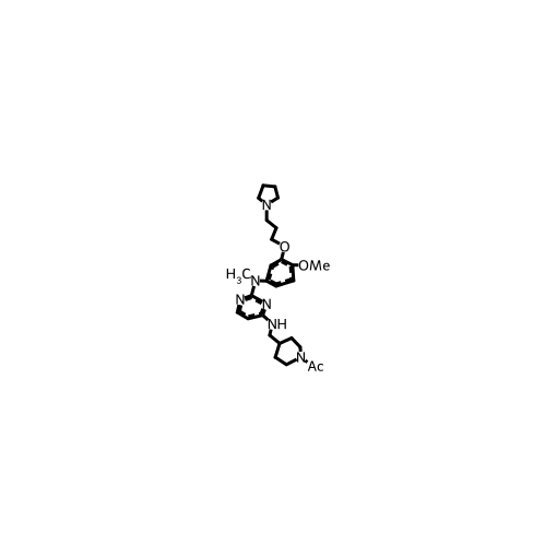 COc1ccc(N(C)c2nccc(NCC3CCN(C(C)=O)CC3)n2)cc1OCCCN1CCCC1